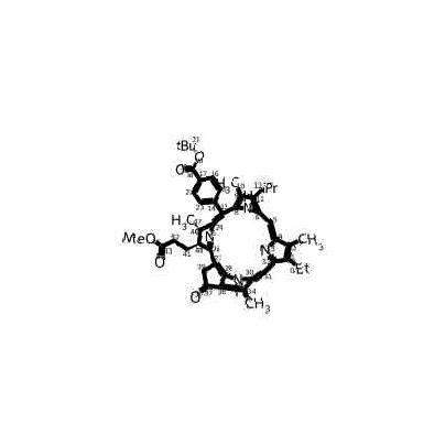 CCC1=C(C)c2cc3[nH]c(c(C)c3C(C)C)c(-c3ccc(C(=O)OC(C)(C)C)cc3)c3nc(c4c5[nH]c(cc1n2)c(C)c5C(=O)C4)[C@@H](CCC(=O)OC)[C@@H]3C